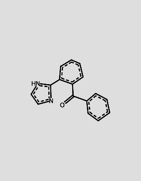 O=C(c1ccccc1)c1ccccc1-c1ncc[nH]1